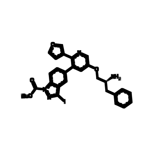 CC(C)COC(=O)n1nc(I)c2cc(-c3cc(OC[C@H](N)Cc4ccccc4)cnc3-c3ccoc3)ccc21